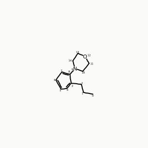 CCCc1ccccc1N1CCOCC1